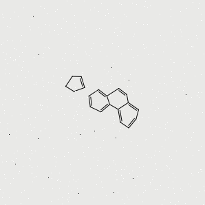 C1=CCCC1.c1ccc2c(c1)ccc1ccccc12